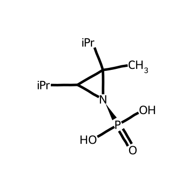 CC(C)C1[N@](P(=O)(O)O)C1(C)C(C)C